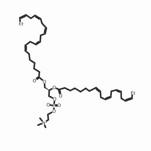 CC/C=C\C/C=C\C/C=C\C/C=C\C/C=C\CCCCCC(=O)OC[C@H](COP(=O)([O-])OCC[N+](C)(C)C)OC(=O)CCCCCC/C=C\C/C=C\C/C=C\C/C=C\CC